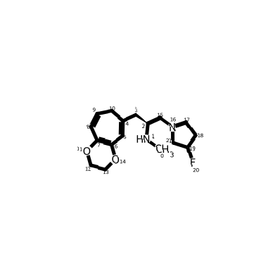 CN[C@@H](CC1=CC2=C(C=CC1)OCCO2)CN1CCC(F)C1